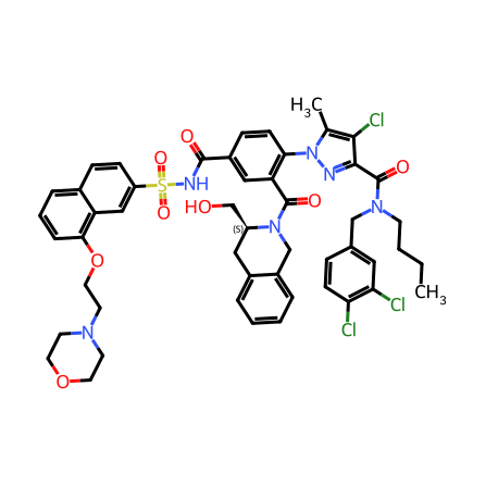 CCCCN(Cc1ccc(Cl)c(Cl)c1)C(=O)c1nn(-c2ccc(C(=O)NS(=O)(=O)c3ccc4cccc(OCCN5CCOCC5)c4c3)cc2C(=O)N2Cc3ccccc3C[C@H]2CO)c(C)c1Cl